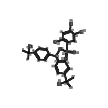 CCC(C)(C)c1ccc([I+](OS(=O)(=O)c2cc(Cl)c(Cl)cc2Cl)c2ccc(C(C)(C)CC)cc2)cc1